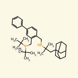 CC(C)(CC12CC3CC(CC(C3)C1)C2)PCc1ccc(-c2ccccc2)cc1CP(C(C)(C)C)C(C)(C)C